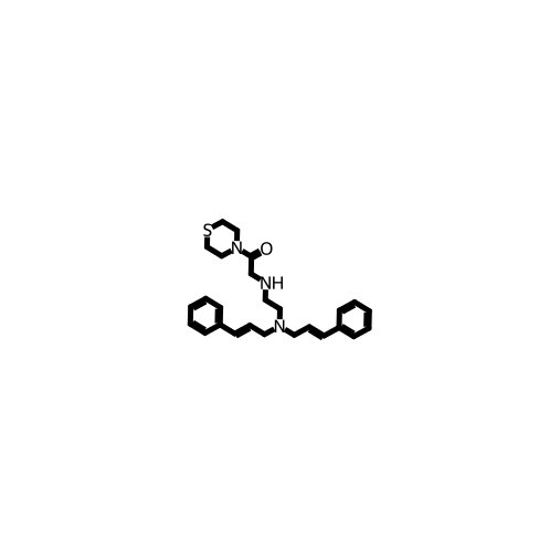 O=C(CNCCN(C/C=C/c1ccccc1)C/C=C/c1ccccc1)N1CCSCC1